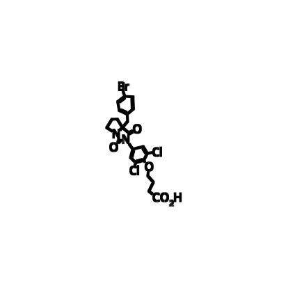 O=C(O)CCCOc1c(Cl)cc(N2C(=O)N3CCCC3(Cc3ccc(Br)cc3)C2=O)cc1Cl